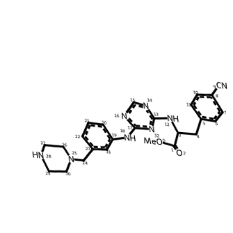 COC(=O)C(Cc1ccc(C#N)cc1)Nc1ncnc(Nc2cccc(CN3CCNCC3)c2)n1